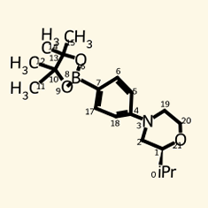 CC(C)[C@H]1CN(c2ccc(B3OC(C)(C)C(C)(C)O3)cc2)CCO1